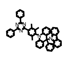 Cc1cc(-c2nc(-c3ccccc3)nc(-c3ccccc3)n2)c(C)c(C)c1N1c2ccccc2C(c2ccccc2)(n2c3ccccc3c3ccccc32)c2ccccc21